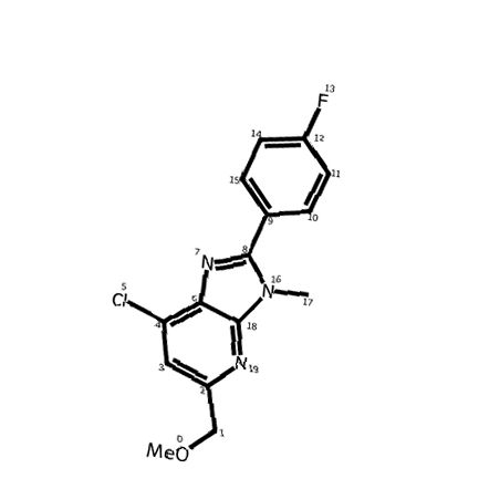 COCc1cc(Cl)c2nc(-c3ccc(F)cc3)n(C)c2n1